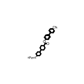 CCCCCC1CCC(C2CCC(C(=O)Oc3ccc(-c4ccc(C#N)cc4)cc3)CC2)CC1